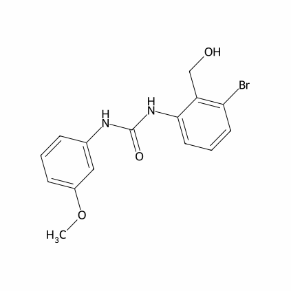 COc1cccc(NC(=O)Nc2cccc(Br)c2CO)c1